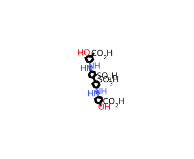 O=C(O)c1cc(NNc2ccc(-c3ccc(NNc4ccc(O)c(C(=O)O)c4)cc3S(=O)(=O)O)c(S(=O)(=O)O)c2)ccc1O